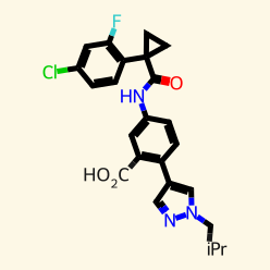 CC(C)Cn1cc(-c2ccc(NC(=O)C3(c4ccc(Cl)cc4F)CC3)cc2C(=O)O)cn1